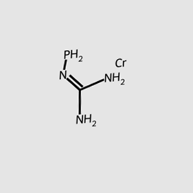 NC(N)=NP.[Cr]